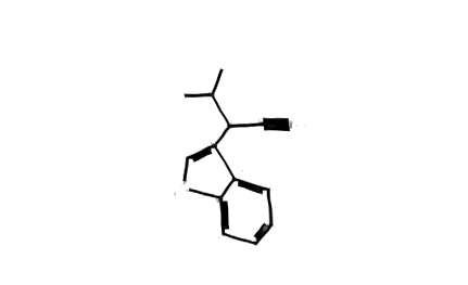 CC(C)C(C#N)c1csc2ccccc12